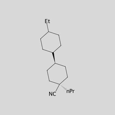 CCC[C@]1(C#N)CC[C@@H](C2CCC(CC)CC2)CC1